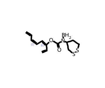 BN(C(=O)O/C(C=C)=C/C=C\C=C)C1CCSSC1